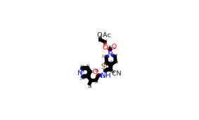 CC(=O)OCCOC(=O)N1CCc2c(sc(NC(=O)CC(C)c3cccnc3)c2C#N)C1